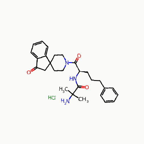 CC(C)(N)C(=O)N[C@H](CCCc1ccccc1)C(=O)N1CCC2(CC1)CC(=O)c1ccccc12.Cl